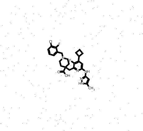 Cc1cc(Nc2cc(C3CCC3)c(F)c(CC3(C(=O)O)CCN(Cc4cccc(Cl)c4F)CC3)n2)n[nH]1